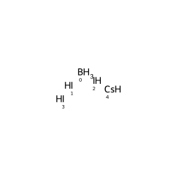 B.I.I.I.[CsH]